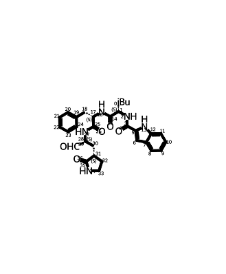 CCC(C)[C@H](NC(=O)c1cc2ccccc2[nH]1)C(=O)N[C@@H](Cc1ccccc1)C(=O)N[C@H](C=O)C[C@@H]1CCNC1=O